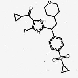 O=C(c1[nH]c(C(CC2CCOCC2)c2ccc(S(=O)(=O)C3CC3)cc2)nc1F)C1CC1